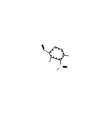 O=Cc1ccc(F)c([N+](=O)[O-])c1F